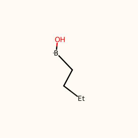 CCCC[B]O